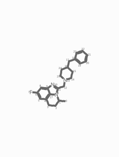 CC1CCc2cc(F)cc3nc(CN4CCC(Cc5ccccc5)CC4)n1c23